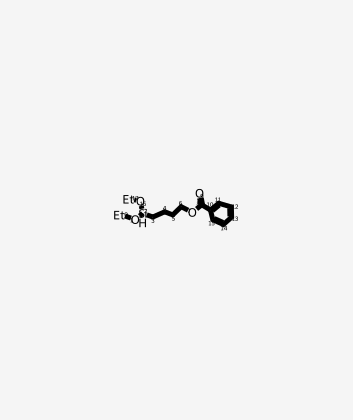 CCO[SiH](CCCCOC(=O)c1ccccc1)OCC